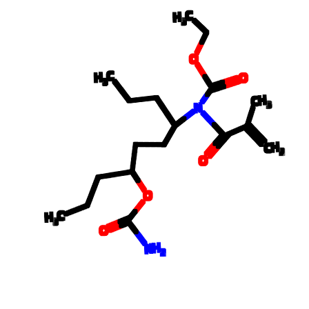 C=C(C)C(=O)N(C(=O)OCC)C(CCC)CCC(CCC)OC(N)=O